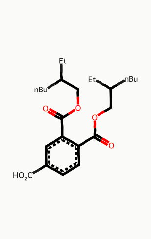 CCCCC(CC)COC(=O)c1ccc(C(=O)O)cc1C(=O)OCC(CC)CCCC